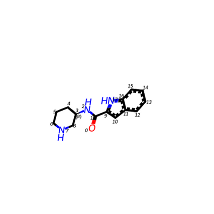 O=C(N[C@@H]1CCCNC1)c1cc2ccccc2[nH]1